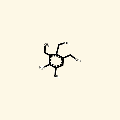 CCc1cc(N)c(N)c(CC)c1CC